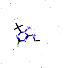 CCNC1=NC(Cl)=NC(C(C)(C)C)N1N